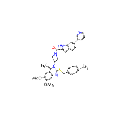 C=C1c2cc(OC)c(OC)cc2N=C(SCc2ccc(C(F)(F)F)cc2)N1C1CN(C(=O)c2cc3ccc(-c4cccnc4)cc3[nH]2)C1